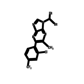 CCC(CC)n1cnc2nc(-c3ccc(C(F)(F)F)cc3Cl)c(C)nc21